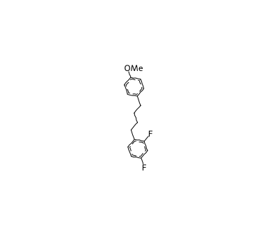 COc1ccc(CCCCc2ccc(F)cc2F)cc1